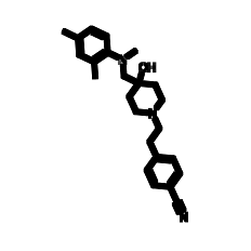 Cc1ccc(N(C)CC2(O)CCN(CCc3ccc(C#N)cc3)CC2)c(C)c1